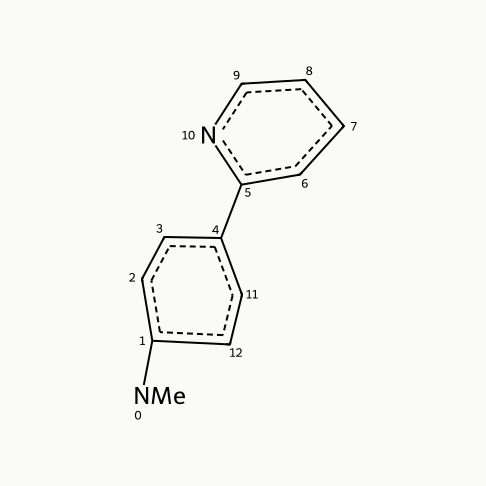 CNc1ccc(-c2ccccn2)cc1